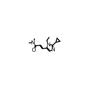 CCn1c(/C=C/C(=O)N(C)C)cnc1C1CC1